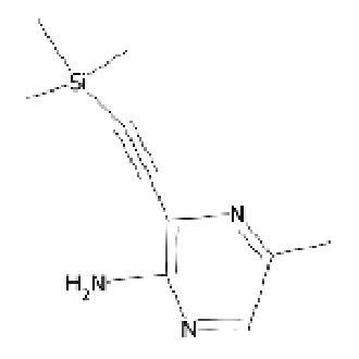 Cc1cnc(N)c(C#C[Si](C)(C)C)n1